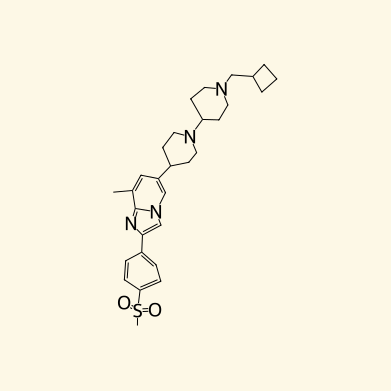 Cc1cc(C2CCN(C3CCN(CC4CCC4)CC3)CC2)cn2cc(-c3ccc(S(C)(=O)=O)cc3)nc12